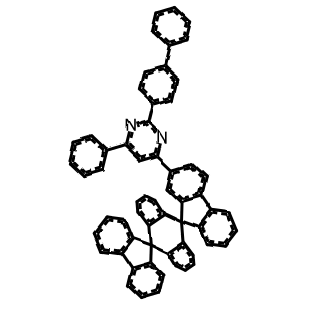 c1ccc(-c2ccc(-c3nc(-c4ccccc4)cc(-c4ccc5c(c4)C4(c6ccccc6-5)c5ccccc5C5(c6ccccc6-c6ccccc65)c5ccccc54)n3)cc2)cc1